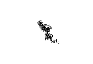 Cc1c(Nc2ncc(-c3cncc(C(=O)NCCN)c3)s2)ncnc1N1CCC(F)(F)CC1